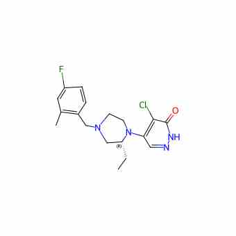 CC[C@@H]1CN(Cc2ccc(F)cc2C)CCN1c1cn[nH]c(=O)c1Cl